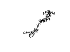 Cn1c(CCCCCCC(=O)NOCc2ccc(B(O)O)cc2)nc2cc(N(CCCl)CCCl)ccc21